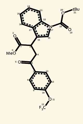 COC(=O)C(CC(=O)c1ccc(OC(F)(F)F)cc1)c1cn(C(=O)OC(C)(C)C)c2ccccc12